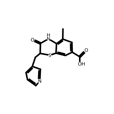 Cc1cc(C(=O)O)cc2c1NC(=O)C(Cc1cccnc1)S2